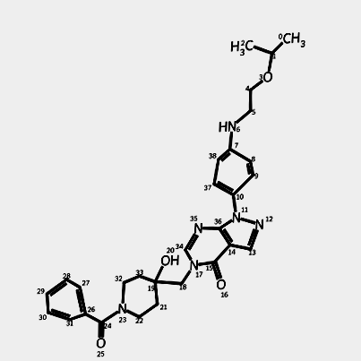 CC(C)OCCNc1ccc(-n2ncc3c(=O)n(CC4(O)CCN(C(=O)c5ccccc5)CC4)cnc32)cc1